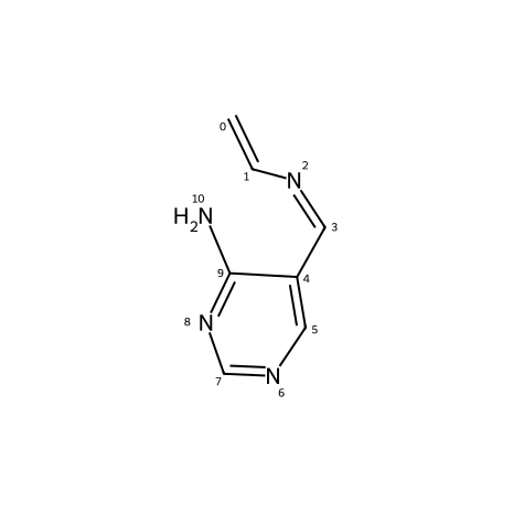 C=C/N=C\c1cncnc1N